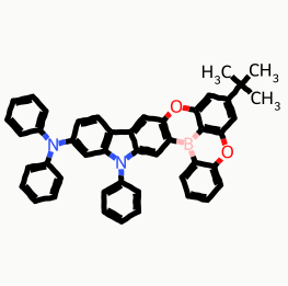 CC(C)(C)c1cc2c3c(c1)Oc1cc4c5ccc(N(c6ccccc6)c6ccccc6)cc5n(-c5ccccc5)c4cc1B3c1ccccc1O2